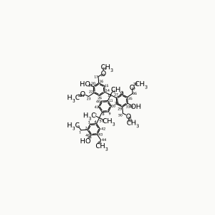 CCc1cc(C(C)(C)c2ccc(C(C)(c3cc(COC)c(O)c(COC)c3)c3cc(COC)c(O)c(COC)c3)cc2)cc(CC)c1O